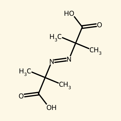 CC(C)(N=NC(C)(C)C(=O)O)C(=O)O